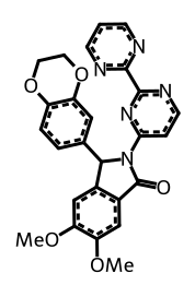 COc1cc2c(cc1OC)C(c1ccc3c(c1)OCCO3)N(c1ccnc(-c3ncccn3)n1)C2=O